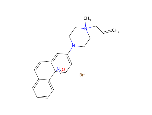 C=CC[N+]1(C)CCN(C2=CC3OC=NC34C(=C2)C=Cc2ccccc24)CC1.[Br-]